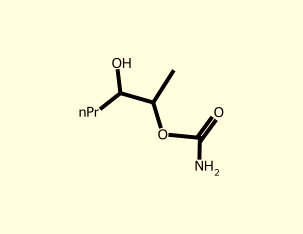 CCCC(O)C(C)OC(N)=O